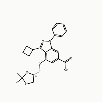 CC1(C)OC[C@@H](COc2cc(C(=O)O)nc3c2c(C2CCC2)nn3-c2ccccc2)O1